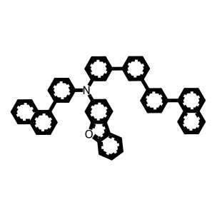 c1cc(-c2cccc(-c3cccc4ccccc34)c2)cc(-c2cccc(N(c3cccc(-c4cccc5ccccc45)c3)c3ccc4c(c3)oc3ccccc34)c2)c1